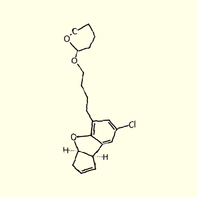 Clc1cc(CCCCOC2CCCCO2)c2c(c1)[C@H]1C=CC[C@H]1O2